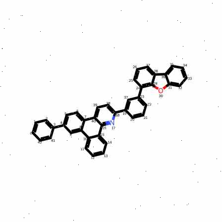 c1ccc(-c2ccc3c(c2)c2ccccc2c2nc(-c4cccc(-c5cccc6c5oc5ccccc56)c4)ccc32)cc1